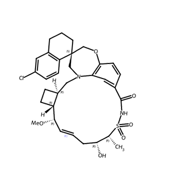 CO[C@H]1/C=C/C[C@@H](O)[C@@H](C)S(=O)(=O)NC(=O)c2ccc3c(c2)N(C[C@@H]2CC[C@H]21)C[C@@]1(CCCc2cc(Cl)ccc21)CO3